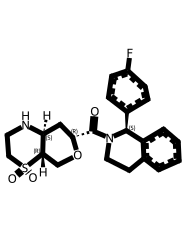 O=C([C@H]1C[C@@H]2NCCS(=O)(=O)[C@H]2CO1)N1CCc2ccccc2[C@@H]1c1ccc(F)cc1